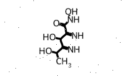 CC(O)C(=N)C(O)C(=N)C(=O)NO